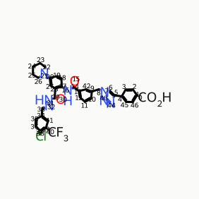 O=C(O)c1ccc(-c2cn(Cc3cccc(C(=O)Nc4ccc(N5CCCCC5)cc4C(=O)NN=Cc4ccc(Cl)c(C(F)(F)F)c4)c3)nn2)cc1